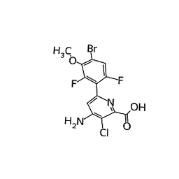 COc1c(Br)cc(F)c(-c2cc(N)c(Cl)c(C(=O)O)n2)c1F